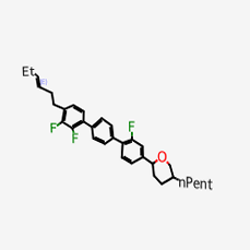 CC/C=C/CCc1ccc(-c2ccc(-c3ccc(C4CCC(CCCCC)CO4)cc3F)cc2)c(F)c1F